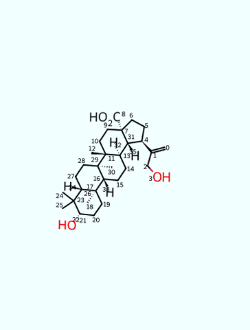 C=C(CO)[C@@H]1CC[C@]2(C(=O)O)CC[C@]3(C)[C@H](CC[C@@H]4[C@@]5(C)CC[C@H](O)C(C)(C)[C@@H]5CC[C@]43C)[C@@H]12